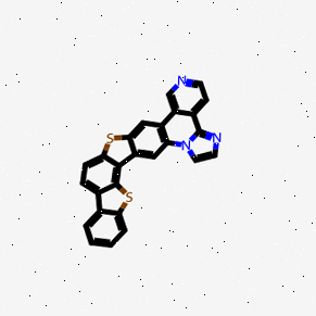 c1ccc2c(c1)sc1c2ccc2sc3cc4c5cnccc5c5nccn5c4cc3c21